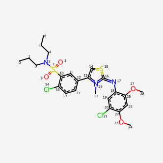 CCCN(CCC)S(=O)(=O)c1cc(-c2csc(=Nc3cc(Cl)c(OC)cc3OC)n2C)ccc1Cl